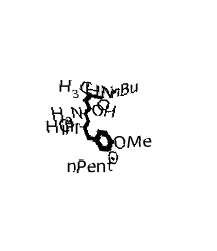 CCCCCOc1cc(C[C@@H](C[C@H](N)[C@@H](O)C[C@@H](C)C(=O)NCCCC)C(C)C)ccc1OC.Cl